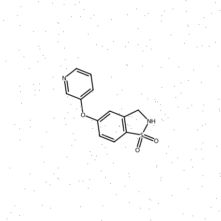 O=S1(=O)NCc2cc(Oc3cccnc3)ccc21